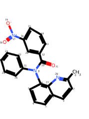 Cc1ccc2cccc(N(C(=O)c3cccc([N+](=O)[O-])c3)c3ccccc3)c2n1